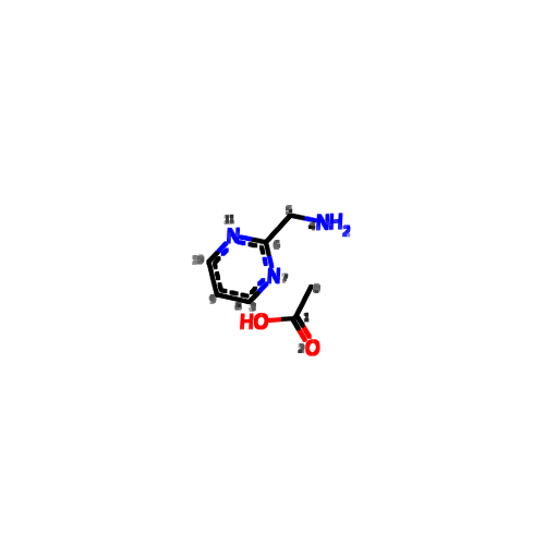 CC(=O)O.NCc1ncccn1